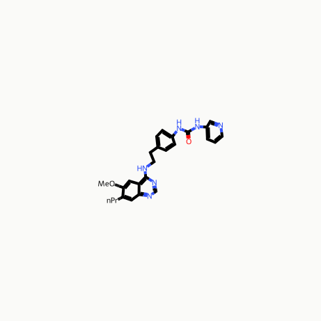 CCCc1cc2ncnc(NCCc3ccc(NC(=O)Nc4cccnc4)cc3)c2cc1OC